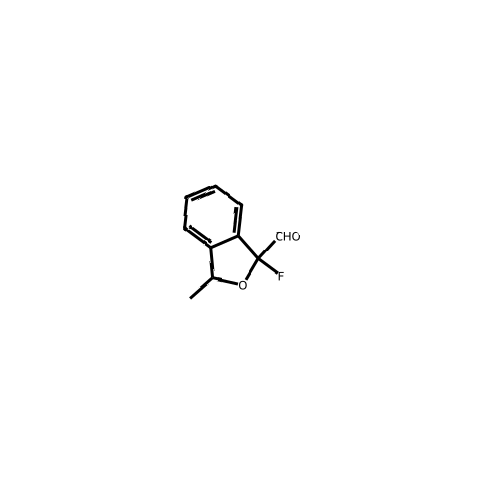 CC1OC(F)(C=O)c2ccccc21